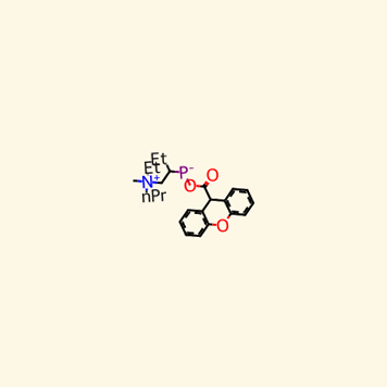 CCC[N+](C)(CC)CC(CC)[P-]OC(=O)C1c2ccccc2Oc2ccccc21